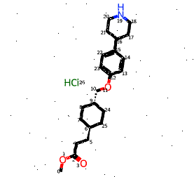 COC(=O)CC[C@H]1CC[C@H](COc2ccc(C3CCNCC3)cc2)CC1.Cl